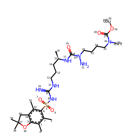 Cc1c(C)c(S(=O)(=O)NC(=N)NCCC[C@@H](C)NC(=O)N(N)CCCCN(C(=O)OC(C)(C)C)C(C)C)c(C)c2c1OC(C)(C)C2